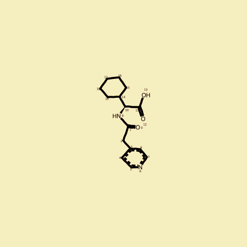 O=C(Cc1ccncc1)N[C@H](C(=O)O)C1CCCCC1